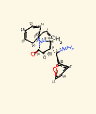 C=C[C@@]1(N2C[C@H](C(N)c3ccco3)CC2=O)C=CC=CC1